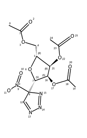 CC(=O)OC[C@H]1O[C@@H](C2([N+](=O)[O-])C=NN=N2)[C@H](OC(C)=O)[C@@H]1OC(C)=O